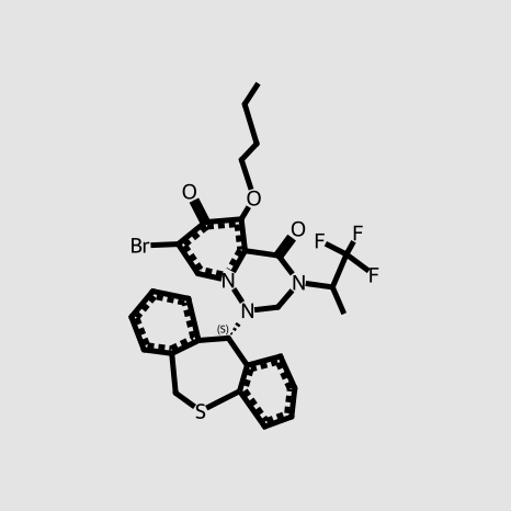 CCCCOc1c2n(cc(Br)c1=O)N([C@H]1c3ccccc3CSc3ccccc31)CN(C(C)C(F)(F)F)C2=O